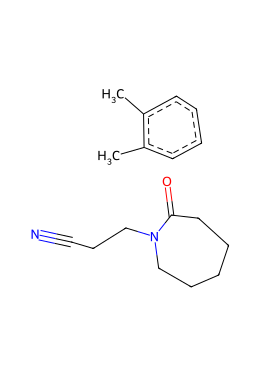 Cc1ccccc1C.N#CCCN1CCCCCC1=O